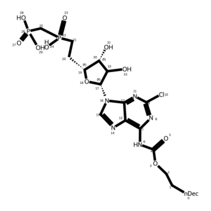 CCCCCCCCCCCCOC(=O)Nc1nc(Cl)nc2c1ncn2[C@@H]1O[C@H](CCP(=O)(O)CP(=O)(O)O)[C@H](O)C1O